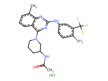 CC(=O)NC1CCCN(c2nc(Nc3ccc(N)c(C(F)(F)F)c3)nc3c(C)cccc23)C1.Cl